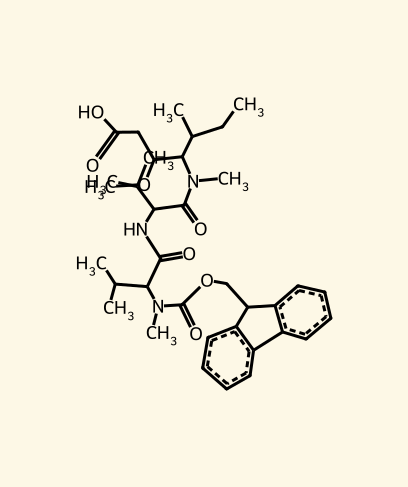 CCC(C)C(C(CC(=O)O)OC)N(C)C(=O)C(NC(=O)C(C(C)C)N(C)C(=O)OCC1c2ccccc2-c2ccccc21)C(C)C